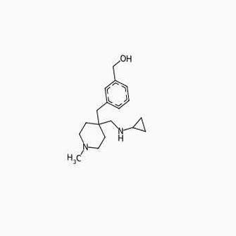 CN1CCC(CNC2CC2)(Cc2cccc(CO)c2)CC1